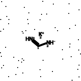 N=C[NH-].[K+]